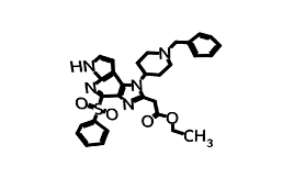 CCOC(=O)Cc1nc2c(S(=O)(=O)c3ccccc3)nc3[nH]ccc3c2n1C1CCN(Cc2ccccc2)CC1